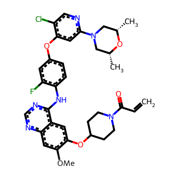 C=CC(=O)N1CCC(Oc2cc3c(Nc4ccc(Oc5cc(N6C[C@@H](C)O[C@@H](C)C6)ncc5Cl)cc4F)ncnc3cc2OC)CC1